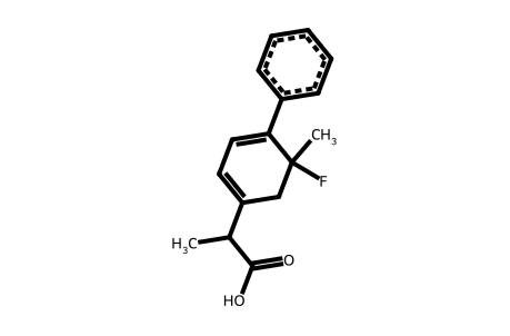 CC(C(=O)O)C1=CC=C(c2ccccc2)C(C)(F)C1